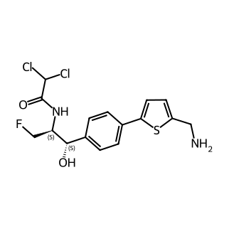 NCc1ccc(-c2ccc([C@H](O)[C@@H](CF)NC(=O)C(Cl)Cl)cc2)s1